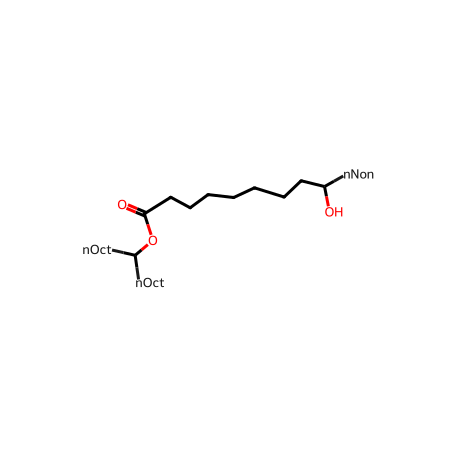 CCCCCCCCCC(O)CCCCCCCC(=O)OC(CCCCCCCC)CCCCCCCC